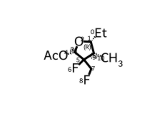 CC[C@H]1O[C@@H](OC(C)=O)C(F)(CF)[C@H]1C